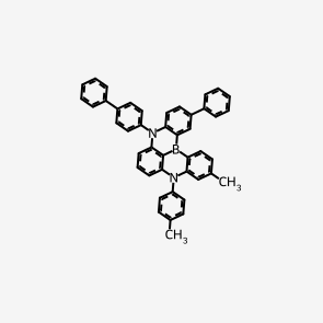 Cc1ccc(N2c3cc(C)ccc3B3c4cc(-c5ccccc5)ccc4N(c4ccc(-c5ccccc5)cc4)c4cccc2c43)cc1